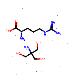 N=C(N)NCCCC(N)C(=O)O.NC(CO)(CO)CO